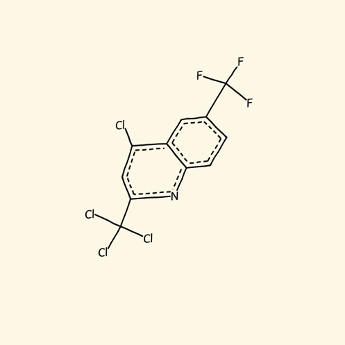 FC(F)(F)c1ccc2nc(C(Cl)(Cl)Cl)cc(Cl)c2c1